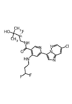 CC(C)(O)[C@H](F)CNC(=O)c1cnc(-c2cnc3cc(Cl)cnn23)cc1NCCC(F)F